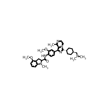 COc1cc(-c2nc([C@H]3CC[C@H](CN(C)C)CC3)n3ccnc(C)c23)ccc1NC(=O)C1Cc2c(OC)cccc2N1C